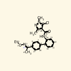 CCO/N=C(\C)c1ccc(-c2ccccc2NC(=O)c2c(C)nn(C)c2Cl)cc1